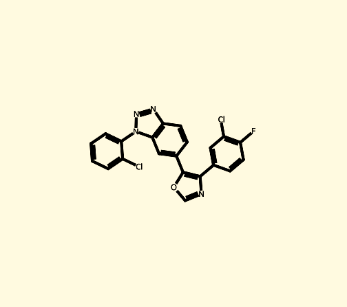 Fc1ccc(-c2ncoc2-c2ccc3nnn(-c4ccccc4Cl)c3c2)cc1Cl